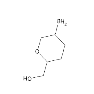 BC1CCC(CO)OC1